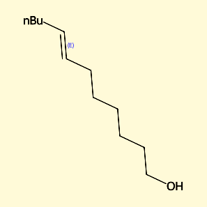 CCCC/C=C/CCCCCCO